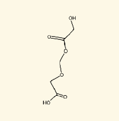 O=C(O)COCOC(=O)CO